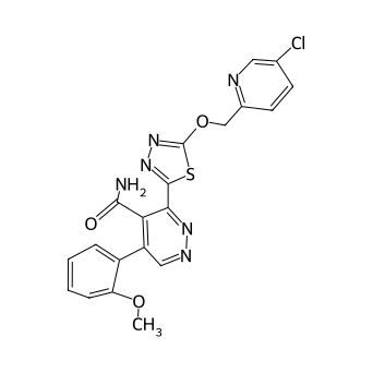 COc1ccccc1-c1cnnc(-c2nnc(OCc3ccc(Cl)cn3)s2)c1C(N)=O